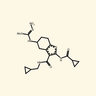 CSC(=N[N+](=O)[O-])NC1CCc2sc(NC(=O)C3CC3)c(C(=O)NCC3CC3)c2C1